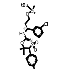 CC1(C)OC(N[C@@H](CCO[Si](C)(C)C(C)(C)C)c2cccc(Cl)c2)=NS(=O)(=O)C1c1ccc(Br)cc1